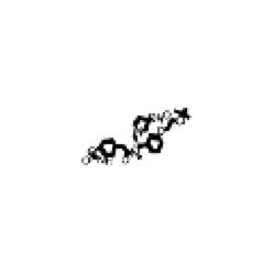 CN(C(=O)Cc1ccc2oc(=O)[nH]c2c1)[C@H](CN1CCC(O)C1)c1cccc(OCC(=O)OC(C)(C)C)c1